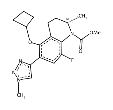 COC(=O)N1c2c(F)cc(-c3cn(C)nn3)c(OC3CCC3)c2CC[C@@H]1C